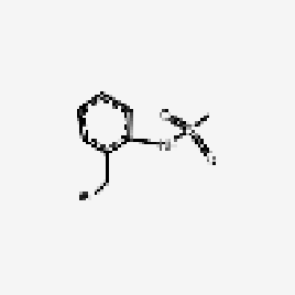 CC(C)Cc1ccccc1NS(C)(=O)=O